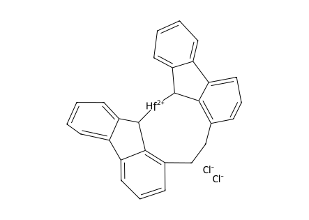 [Cl-].[Cl-].c1ccc2c(c1)-c1cccc3c1[CH]2[Hf+2][CH]1c2ccccc2-c2cccc(c21)CC3